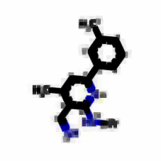 Cc1cccc(-c2cc(C)c(C=N)c(NC(C)C)n2)c1